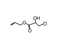 C=CCOC(=O)C(O)CCl